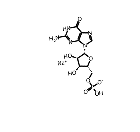 Nc1nc2c(ncn2[C@@H]2O[C@H](COP(=O)([O-])O)[C@@H](O)[C@H]2O)c(=O)[nH]1.[Na+]